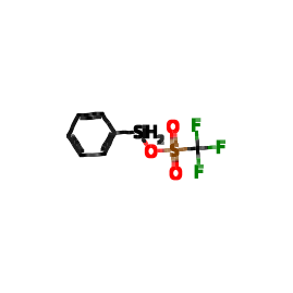 O=S(=O)(O[SiH2]c1ccccc1)C(F)(F)F